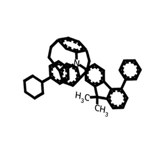 CC1(C)c2cc(N(c3ccc(C4CCCCC4)cc3)c3cc4ccc3CCc3ccc(cc3)CC4)ccc2-c2c(-c3ccccc3)cccc21